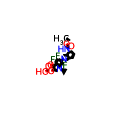 CCOC(=O)NC1CC=CC2CN(c3c(F)c(F)c4c(=O)c(OC(=O)O)cn(C5CC5)c4c3F)CC21